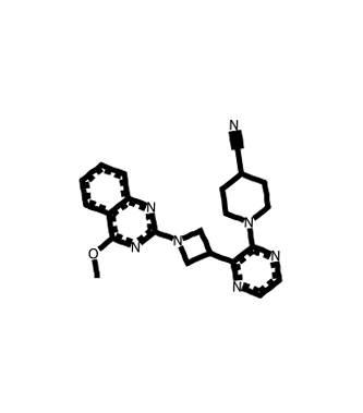 COc1nc(N2CC(c3nccnc3N3CCC(C#N)CC3)C2)nc2ccccc12